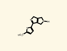 CC(=O)N1CC2=C(C1)C(c1ccc(C(=O)O)s1)=NC2